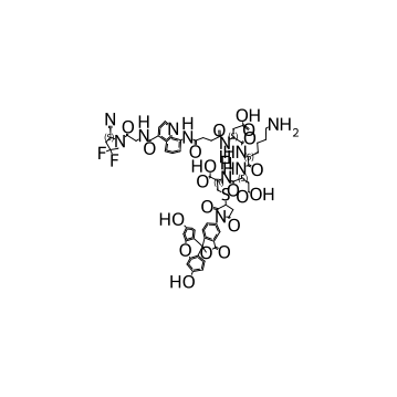 N#C[C@@H]1CC(F)(F)CN1C(=O)CNC(=O)c1ccnc2c(NC(=O)CCC(=O)N[C@@H](CC(=O)O)C(=O)N[C@@H](CCCCN)C(=O)N[C@@H](CC(=O)O)C(=O)N[C@@H](CSC3CC(=O)N(c4ccc5c(c4)C(=O)OC54c5ccc(O)cc5Oc5cc(O)ccc54)C3=O)C(=O)O)cccc12